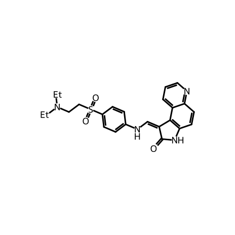 CCN(CC)CCS(=O)(=O)c1ccc(NC=C2C(=O)Nc3ccc4ncccc4c32)cc1